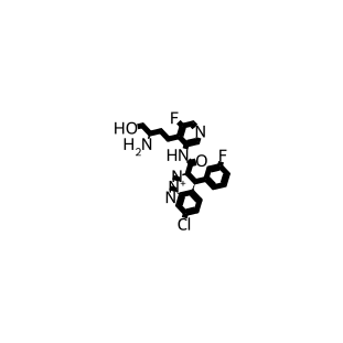 [N-]=[N+]=N[C@H](C(=O)Nc1cncc(F)c1CC[C@H](N)CO)[C@@H](c1ccc(Cl)cc1)c1cccc(F)c1